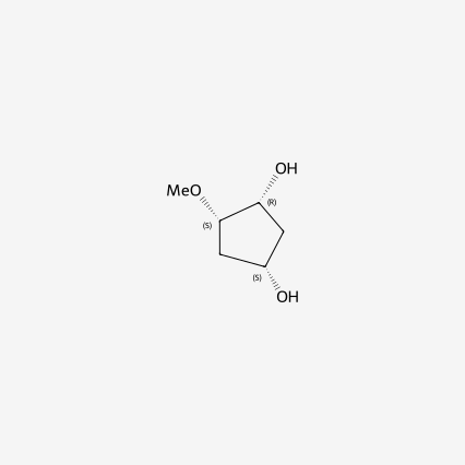 CO[C@H]1C[C@@H](O)C[C@H]1O